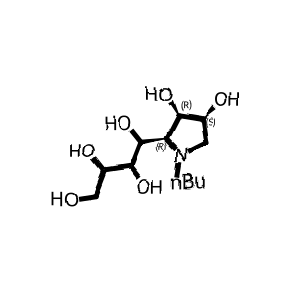 CCCCN1C[C@H](O)[C@H](O)[C@@H]1C(O)C(O)C(O)CO